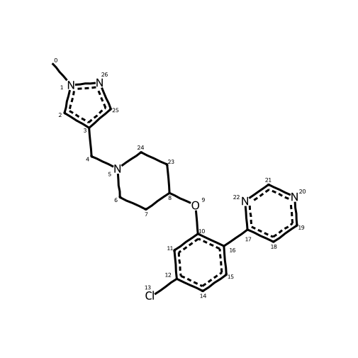 Cn1cc(CN2CCC(Oc3cc(Cl)ccc3-c3ccncn3)CC2)cn1